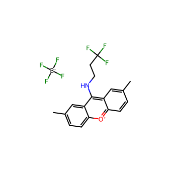 Cc1ccc2[o+]c3ccc(C)cc3c(NCCC(F)(F)F)c2c1.F[B-](F)(F)F